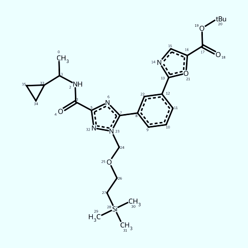 CC(NC(=O)c1nc(-c2cccc(-c3ncc(C(=O)OC(C)(C)C)o3)c2)n(COCC[Si](C)(C)C)n1)C1CC1